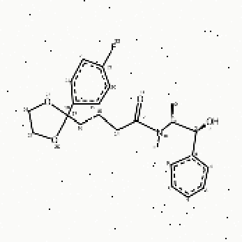 C[C@@H]([C@@H](O)c1ccccc1)N(C)C(=O)CCCC1(c2ccc(F)cc2)OCCO1